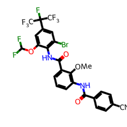 COc1c(NC(=O)c2ccc(C#N)cc2)cccc1C(=O)Nc1c(Br)cc(C(F)(C(F)(F)F)C(F)(F)F)cc1OC(F)F